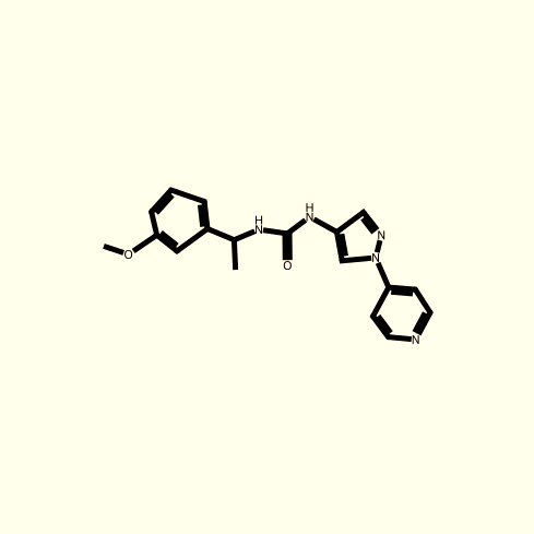 COc1cccc(C(C)NC(=O)Nc2cnn(-c3ccncc3)c2)c1